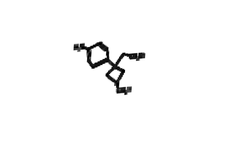 CCOC(=O)CC1(c2ccc(N)cc2)CN(C(=O)O)C1